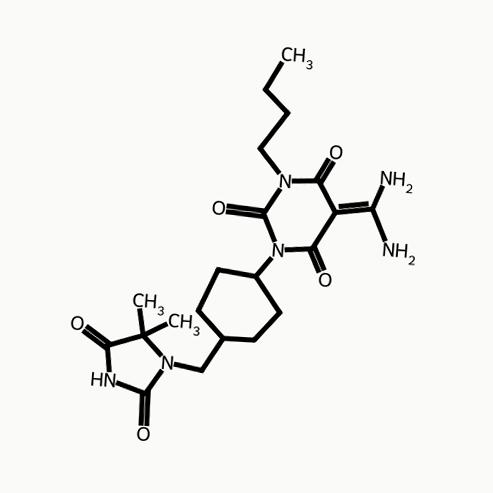 CCCCN1C(=O)C(=C(N)N)C(=O)N(C2CCC(CN3C(=O)NC(=O)C3(C)C)CC2)C1=O